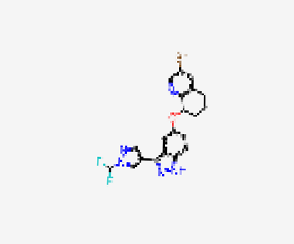 FC(F)n1cc(-c2n[nH]c3ccc(OC4CCCc5cc(Br)cnc54)cc23)cn1